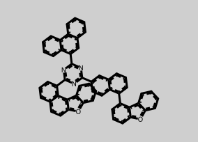 c1cc(-c2cccc3oc4ccccc4c23)c2ccc(-c3nc(-c4cc5ccccc5c5ccccc45)nc(-c4cccc5ccc6oc7ccccc7c6c45)n3)cc2c1